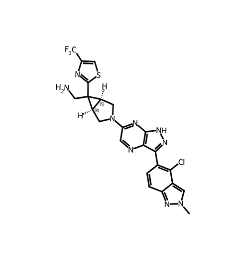 Cn1cc2c(Cl)c(-c3n[nH]c4nc(N5C[C@@H]6[C@H](C5)C6(CN)c5nc(C(F)(F)F)cs5)cnc34)ccc2n1